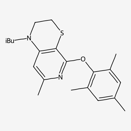 CCC(C)N1CCSc2c1cc(C)nc2Oc1c(C)cc(C)cc1C